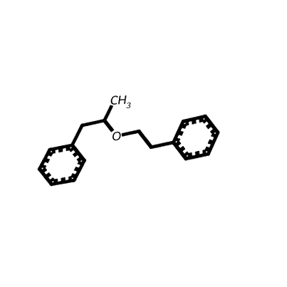 CC(Cc1ccccc1)OCCc1ccccc1